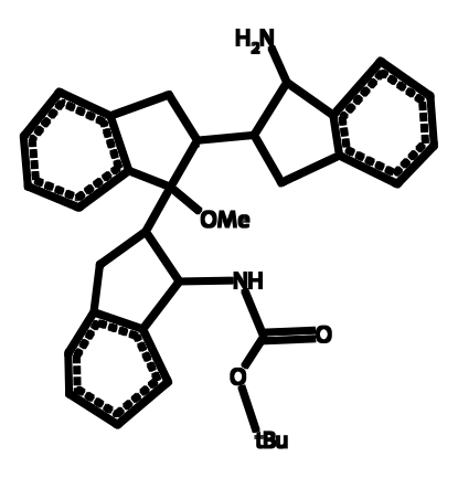 COC1(C2Cc3ccccc3C2NC(=O)OC(C)(C)C)[C](C2Cc3ccccc3C2N)Cc2ccccc21